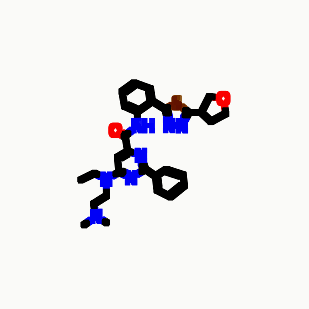 CCN(CCN(C)C)c1cc(C(=O)Nc2ccccc2-c2nnc(C3CCOC3)s2)nc(-c2ccccc2)n1